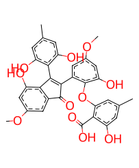 COc1cc(O)c(Oc2cc(C)cc(O)c2C(=O)O)c(C2=C(c3c(O)cc(C)cc3O)c3c(O)cc(OC)cc3C2=O)c1